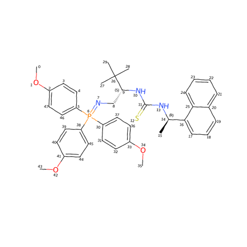 COc1ccc(P(=NC[C@@H](NC(=S)N[C@H](C)c2cccc3ccccc23)C(C)(C)C)(c2ccc(OC)cc2)c2ccc(OC)cc2)cc1